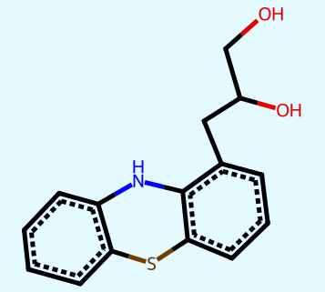 OCC(O)Cc1cccc2c1Nc1ccccc1S2